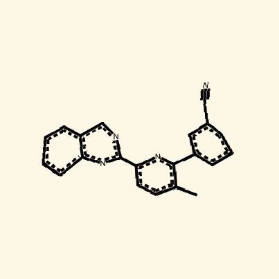 Cc1ccc(-c2ncc3ccccc3n2)nc1-c1cccc(C#N)c1